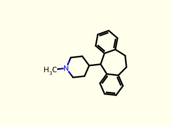 CN1CCC(C2c3ccccc3CCc3ccccc32)CC1